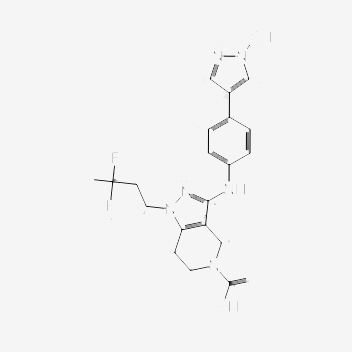 CC(=O)N1CCc2c(c(Nc3ccc(-c4cnn(C)c4)cc3)nn2CCC(F)(F)F)C1